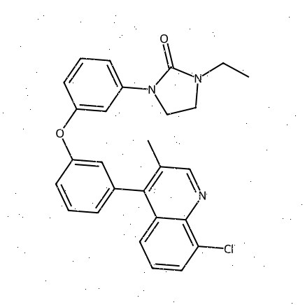 CCN1CCN(c2cccc(Oc3cccc(-c4c(C)cnc5c(Cl)cccc45)c3)c2)C1=O